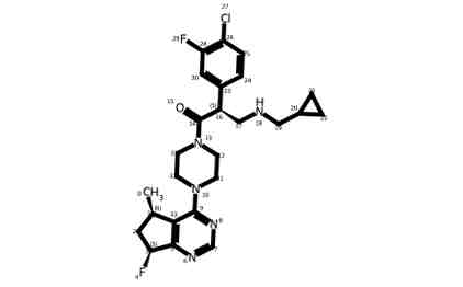 C[C@@H]1C[C@H](F)c2ncnc(N3CCN(C(=O)[C@H](CNCC4CC4)c4ccc(Cl)c(F)c4)CC3)c21